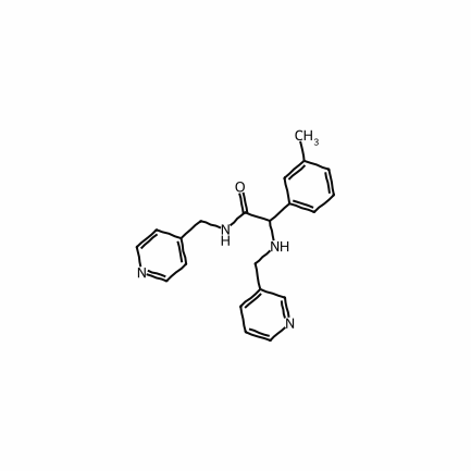 Cc1cccc(C(NCc2cccnc2)C(=O)NCc2ccncc2)c1